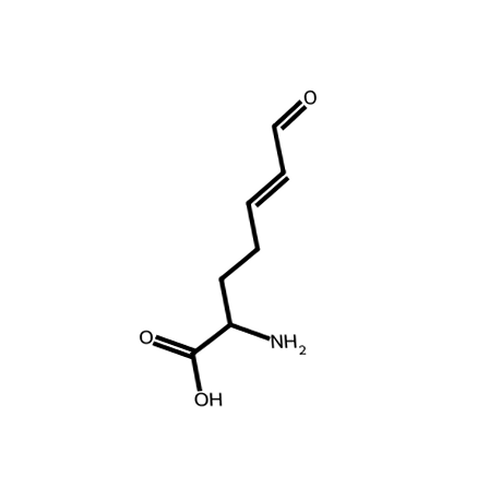 NC(CC/C=C/C=O)C(=O)O